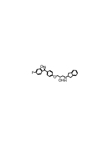 O[C@@H](CNC1Cc2ccccc2C1)COc1ccc(-c2noc3cc(F)ccc23)cc1